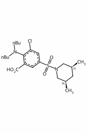 CCCCN(CCCC)c1c(Cl)cc(S(=O)(=O)N2C[C@H](C)C[C@H](C)C2)cc1C(=O)O